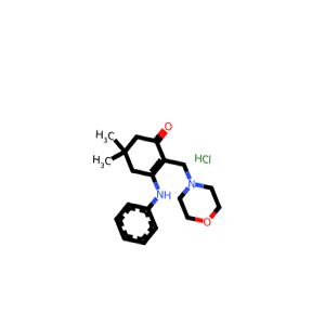 CC1(C)CC(=O)C(CN2CCOCC2)=C(Nc2ccccc2)C1.Cl